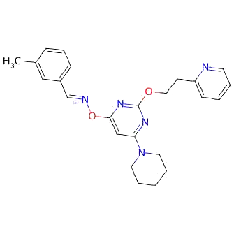 Cc1cccc(/C=N/Oc2cc(N3CCCCC3)nc(OCCc3ccccn3)n2)c1